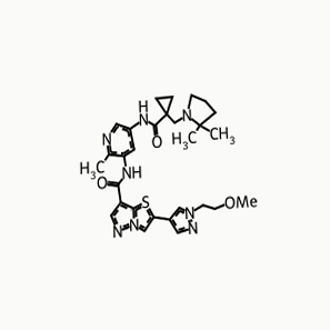 COCCn1cc(-c2cn3ncc(C(=O)Nc4cc(NC(=O)C5(CN6CCCC6(C)C)CC5)cnc4C)c3s2)cn1